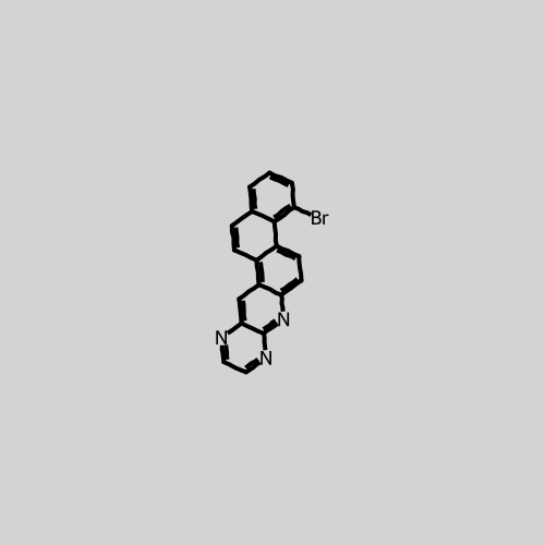 Brc1cccc2ccc3c4cc5nccnc5nc4ccc3c12